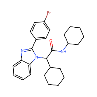 O=C(NC1CCCCC1)C(C1CCCCC1)n1c(-c2ccc(Br)cc2)nc2ccccc21